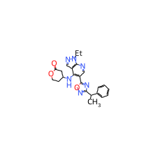 CCn1ncc2c(NC3CCOC(=O)C3)c(-c3nc(C(C)c4ccccc4)no3)cnc21